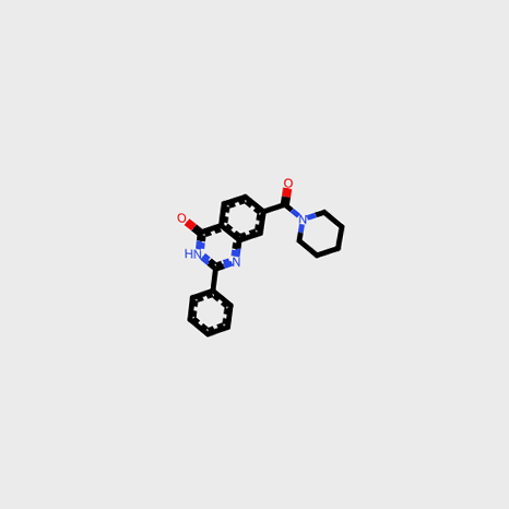 O=C(c1ccc2c(=O)[nH]c(-c3ccccc3)nc2c1)N1CCCCC1